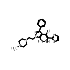 CN1CCN(CCn2nc(-c3ccccc3)c3c2NNC(c2nccs2)=C3Cl)CC1